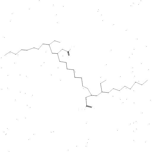 CCCCCCCCC(CC)CC(CCCCCCCCC(CC(O)=S)CC(CC)CCCCCCCC)CC(O)=S